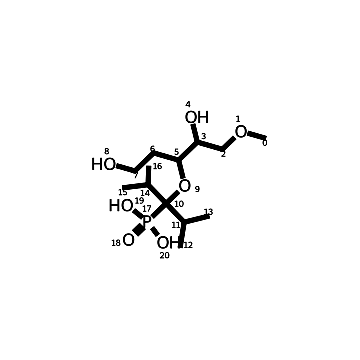 COCC(O)C(CCO)OC(C(C)C)(C(C)C)P(=O)(O)O